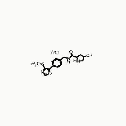 CSc1ncoc1-c1ccc(CNC(=O)C2CC(O)CN2)cc1.Cl